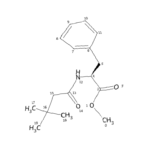 COC(=O)[C@H](Cc1ccccc1)NC(=O)CC(C)(C)C